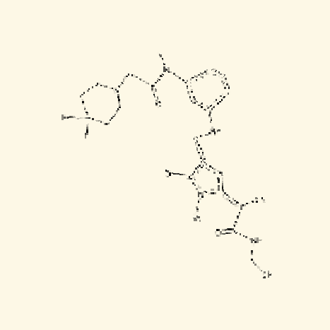 CCn1c(=C(C#N)C(=O)NCC#N)sc(=CNc2cccc(N(C)C(=O)CN3CCC(F)(F)CC3)c2)c1=O